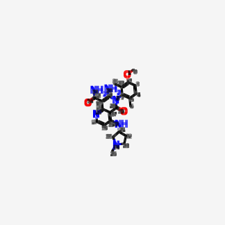 COc1ccc(C)c(-n2c(N)c(C(N)=O)c3nccc(N[C@@H]4CCN(C)C4)c3c2=O)c1C